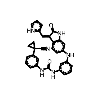 N#CC1(c2cccc(NC(=O)Nc3cccc(Nc4ccc5c(c4)NC(=O)C5=Cc4ccc[nH]4)c3)c2)CC1